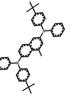 Cc1cc(N(c2ccccc2)c2ccc(C(C)(C)C)cc2)cc2ccc(N(c3ccccc3)c3ccc(C(C)(C)C)cc3)cc12